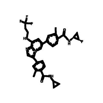 Cc1cc(-c2cnc3c(NCCC(F)(F)F)cc(-c4ccc(C(=O)N[C@H]5C[C@@H]5F)c(C)c4)cn23)ccc1C(=O)NC1CC1